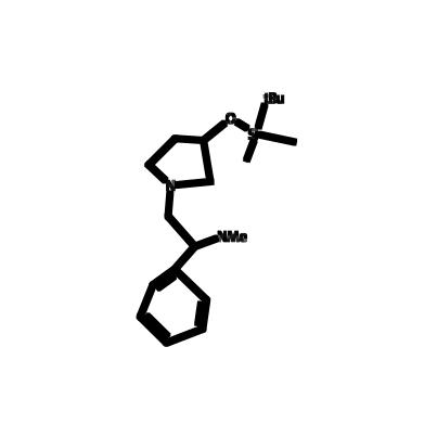 CNC(CN1CCC(O[Si](C)(C)C(C)(C)C)C1)c1ccccc1